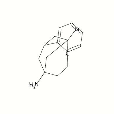 NC12CC3CC(Br)(CC(C1)c1ccccc13)C2